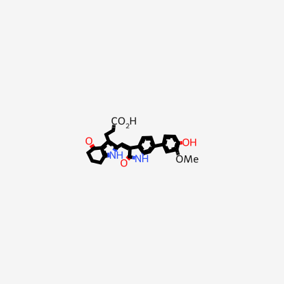 COc1cc(-c2ccc3c(c2)NC(=O)/C3=C\c2[nH]c3c(c2CCC(=O)O)C(=O)CCC3)ccc1O